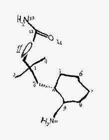 CC(C)(C[C@@H]1CCCC[C@H]1N)OC(N)=O